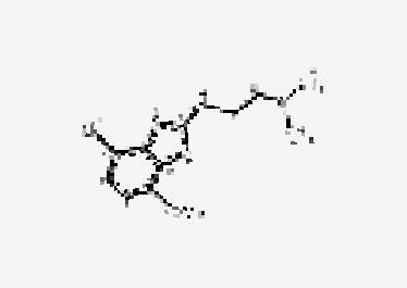 COc1ccc(Cl)c2sc(NCCN(C)C)nc12